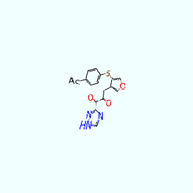 CC(=O)c1ccc(Sc2cocc2CC(=O)C(=O)c2nc[nH]n2)cc1